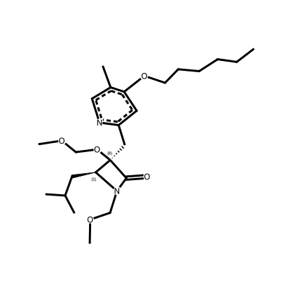 CCCCCCOc1cc(C[C@]2(OCOC)C(=O)N(COC)[C@H]2CC(C)C)ncc1C